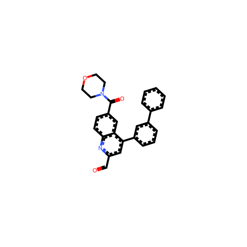 O=Cc1cc(-c2cccc(-c3ccccc3)c2)c2cc(C(=O)N3CCOCC3)ccc2n1